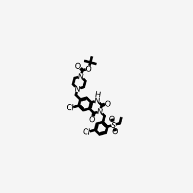 CCS(=O)(=O)c1ccc(Cl)cc1Cn1c(=O)[nH]c2cc(CN3CCN(C(=O)OC(C)(C)C)CC3)c(Cl)cc2c1=O